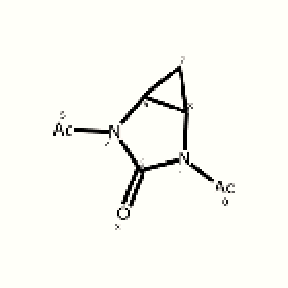 CC(=O)N1C(=O)N(C(C)=O)C2CC21